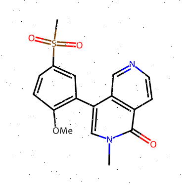 COc1ccc(S(C)(=O)=O)cc1-c1cn(C)c(=O)c2ccncc12